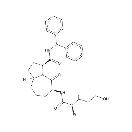 CC[C@H](NCCO)C(=O)N[C@H]1CCC[C@H]2CC[C@@H](C(=O)NC(c3ccccc3)c3ccccc3)N2C1=O